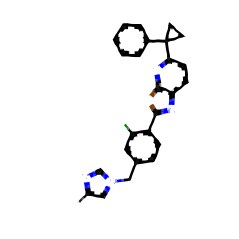 O=C(O)c1cn(Cc2ccc(-c3nc4ccc(C5(c6ccccc6)CC5)nc4s3)c(F)c2)cn1